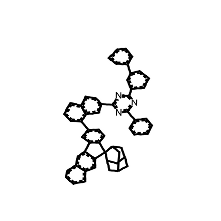 c1ccc(-c2cccc(-c3nc(-c4ccccc4)nc(-c4ccc5cccc(-c6ccc7c(c6)-c6cc8ccccc8cc6C76C7CC8CC(C7)CC6C8)c5c4)n3)c2)cc1